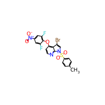 Cc1ccc(S(=O)(=O)n2cc(Br)c3c(Oc4c(F)cc([N+](=O)[O-])cc4F)ccnc32)cc1